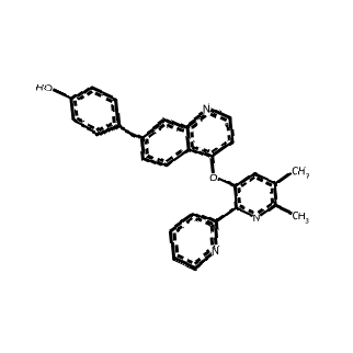 Cc1cc(Oc2ccnc3cc(-c4ccc(O)cc4)ccc23)c(-c2ccccn2)nc1C